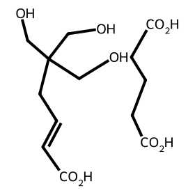 O=C(O)C=CCC(CO)(CO)CO.O=C(O)CCCC(=O)O